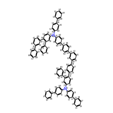 c1ccc(-c2ccc(N(c3ccc(-c4ccccc4)cc3)c3ccc(-c4ccc(-c5cccc(-c6ccc(-c7ccc(N(c8ccc(-c9ccccc9)cc8)c8ccc(-c9cccc(-c%10ccccc%10)c9)c(-c9ccccc9)c8)cc7)cc6)c5)cc4)c(-c4ccccc4)c3)cc2)cc1